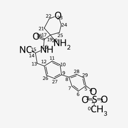 CS(=O)(=O)Oc1ccc(-c2ccc(C[C@@H](C#N)NC(=O)C3(N)CCOCC3)cc2)cc1